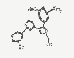 COc1cc(C)cc(-c2nn(CC#N)cc2-c2ccnc(-c3cccc(C(C)=O)c3)c2)c1